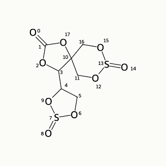 O=C1OC(C2COS(=O)O2)C2(COS(=O)OC2)O1